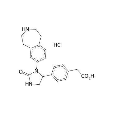 Cl.O=C(O)Cc1ccc(C2CNC(=O)N2c2ccc3c(c2)CCNCC3)cc1